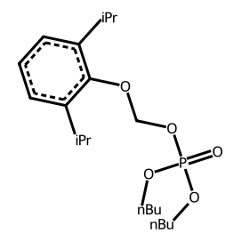 CCCCOP(=O)(OCCCC)OCOc1c(C(C)C)cccc1C(C)C